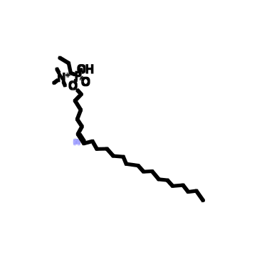 CCCCCCCCCCCCCCCC/C=C\CCCCCOP(=O)(O)C(CC)[N+](C)(C)C